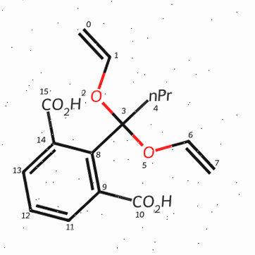 C=COC(CCC)(OC=C)c1c(C(=O)O)cccc1C(=O)O